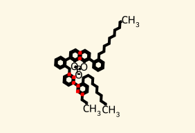 CCCCCCCCCCc1ccccc1-c1ccccc1OP(Oc1ccccc1-c1ccccc1CCCCCCCCCC)Oc1ccccc1-c1ccccc1CCCCCCCCCC